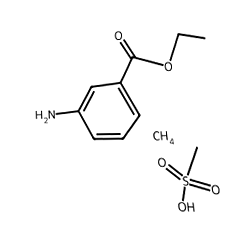 C.CCOC(=O)c1cccc(N)c1.CS(=O)(=O)O